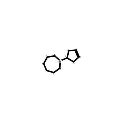 C1=CCC(N2CCCCCC2)C1